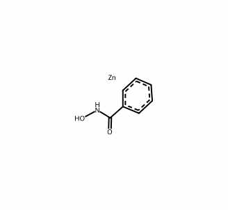 O=C(NO)c1ccccc1.[Zn]